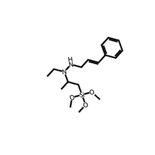 CCN(NCC=Cc1ccccc1)C(C)C[Si](OC)(OC)OC